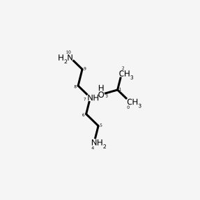 CC(C)O.NCCNCCN